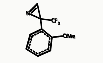 COc1ccccc1C1(C(F)(F)F)C=N1